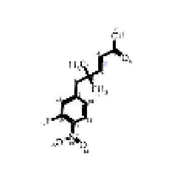 CC(C)(/C=C/C(=O)O)Cc1ccc([N+](=O)[O-])c(F)c1